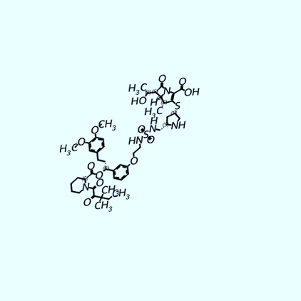 CCC(C)(C)C(=O)C(=O)N1CCCC[C@H]1C(=O)O[C@H](CCc1ccc(OC)c(OC)c1)c1cccc(OCCNS(=O)(=O)NC[C@@H]2C[C@H](SC3=C(C(=O)O)N4C(=O)[C@H]([C@@H](C)O)[C@H]4[C@H]3C)CN2)c1